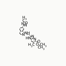 Cc1nc(-c2ccc3ccnc(NCCc4nc5nc(C(=O)OC(C)C)c(C)cc5[nH]4)c3c2)no1